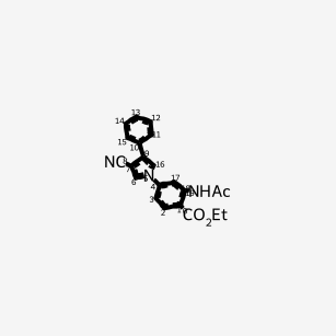 CCOC(=O)c1ccc(-n2cc(C#N)c(-c3ccccc3)c2)cc1NC(C)=O